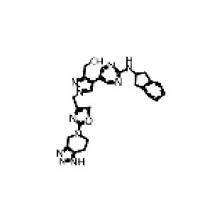 CCc1nn(Cc2coc(N3CCc4[nH]nnc4C3)n2)cc1-c1cnc(NC2Cc3ccccc3C2)nc1